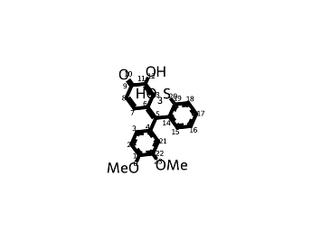 COc1ccc(/C(=C2\C=CC(=O)C(O)=C2)c2ccccc2S(=O)(=O)O)cc1OC